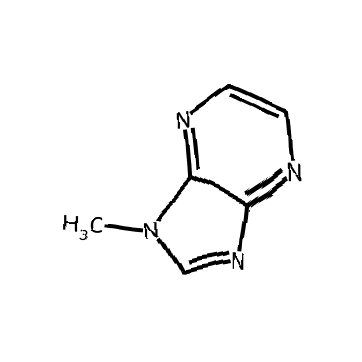 Cn1cnc2nccnc21